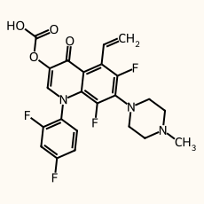 C=Cc1c(F)c(N2CCN(C)CC2)c(F)c2c1c(=O)c(OC(=O)O)cn2-c1ccc(F)cc1F